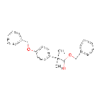 CC(C)(C(=O)OCc1ccccc1)c1ccc(OCc2ccccc2)cc1